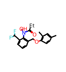 CCC(=O)N(O)c1c(COc2ccc(C)cc2C)cccc1C(F)F